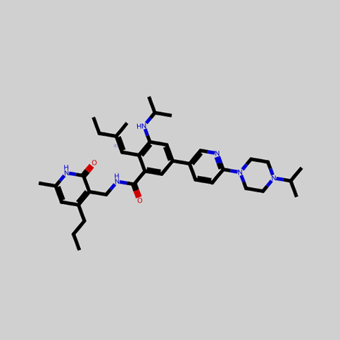 CCCc1cc(C)[nH]c(=O)c1CNC(=O)c1cc(-c2ccc(N3CCN(C(C)C)CC3)nc2)cc(NC(C)C)c1/C=C(\C)CC